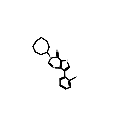 O=c1c2scc(-c3ccccc3F)c2ncn1C1CCCCCCC1